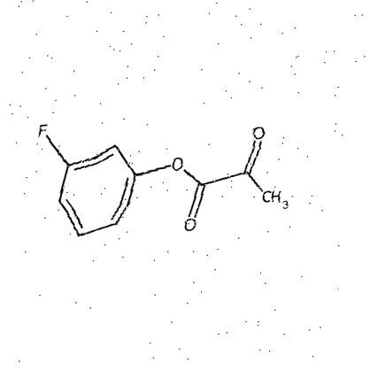 CC(=O)C(=O)Oc1cccc(F)c1